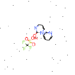 O=S(=O)(O)C(F)(F)F.O=c1nccc[nH]1.c1ccncc1